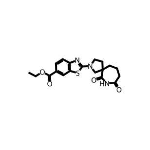 CCOC(=O)c1ccc2nc(N3CCC4(CCCC(=O)NC4=O)C3)sc2c1